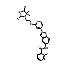 Cc1ncccc1C(=O)Nc1ccc2sc(-c3ccnc(NCCN4C(=O)NC(=O)C4(C)C)n3)cc2c1